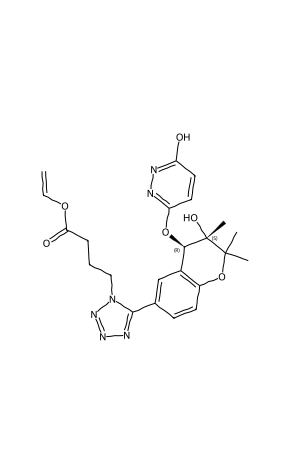 C=COC(=O)CCCn1nnnc1-c1ccc2c(c1)[C@@H](Oc1ccc(O)nn1)[C@](C)(O)C(C)(C)O2